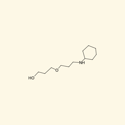 OCCCOCCCNC1CCCCC1